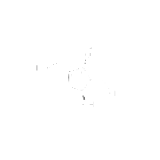 CO[C@H]1[C@H](O)[C@@H](CO)O[C@@H]1O